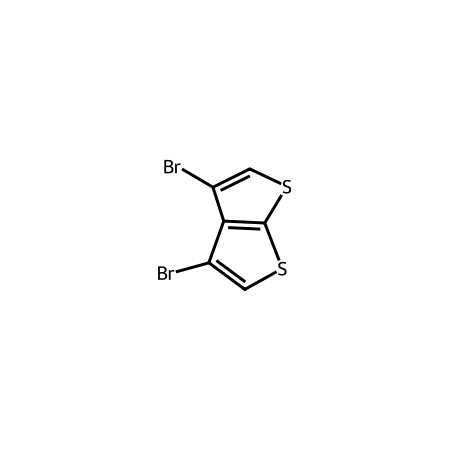 Brc1csc2scc(Br)c12